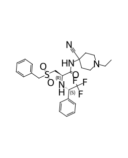 CCN1CCC(C#N)(NC(=O)[C@H](CS(=O)(=O)Cc2ccccc2)N[C@@H](c2ccccc2)C(F)(F)F)CC1